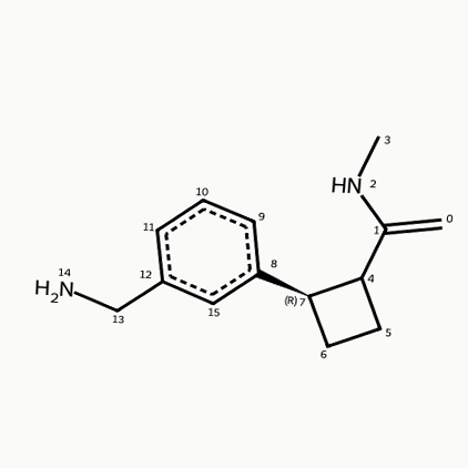 C=C(NC)C1CC[C@H]1c1cccc(CN)c1